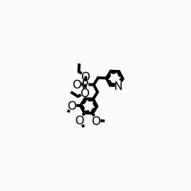 CCOP(=O)(OCC)C(Cc1cccnc1)Cc1cc(OC)c(OC)c(OC)c1